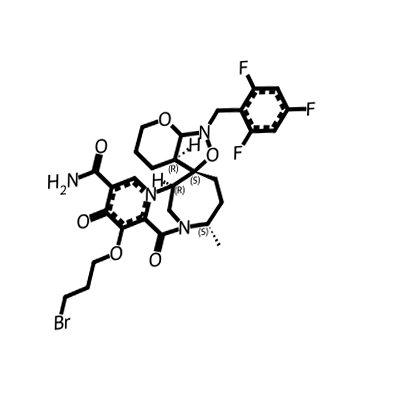 C[C@H]1CC[C@@]2(ON(Cc3c(F)cc(F)cc3F)C3OCCC[C@@H]32)[C@H]2CN1C(=O)c1c(OCCCBr)c(=O)c(C(N)=O)cn12